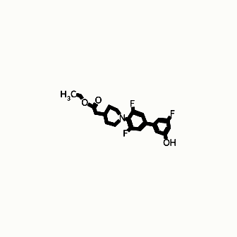 CCOC(=O)CC1CCN(c2c(F)cc(-c3cc(O)cc(F)c3)cc2F)CC1